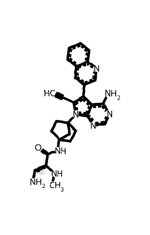 C#Cc1c(-c2cnc3ccccc3c2)c2c(N)ncnc2n1C12CCC(NC(=O)/C(=C/N)NC)(CC1)C2